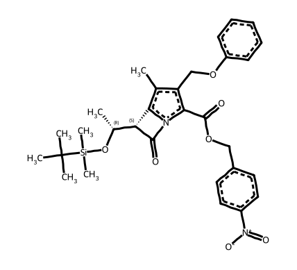 Cc1c(COc2ccccc2)c(C(=O)OCc2ccc([N+](=O)[O-])cc2)n2c1[C@@H]([C@@H](C)O[Si](C)(C)C(C)(C)C)C2=O